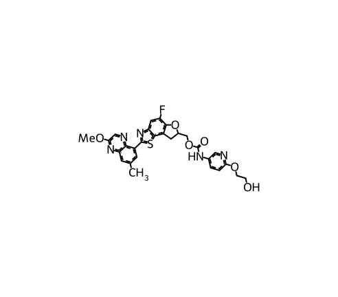 COc1cnc2c(-c3nc4cc(F)c5c(c4s3)CC(COC(=O)Nc3ccc(OCCO)nc3)O5)cc(C)cc2n1